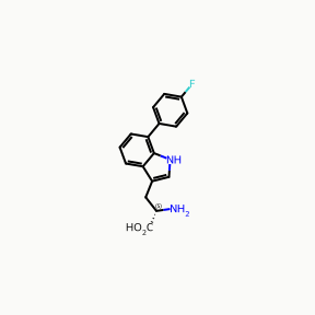 N[C@@H](Cc1c[nH]c2c(-c3ccc(F)cc3)cccc12)C(=O)O